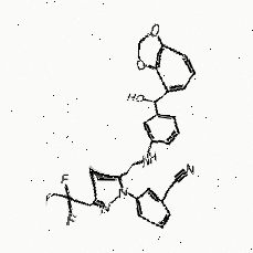 N#Cc1cccc(-n2nc(C(F)(F)F)cc2CNc2cccc(C(O)c3cccc4c3OCO4)c2)c1